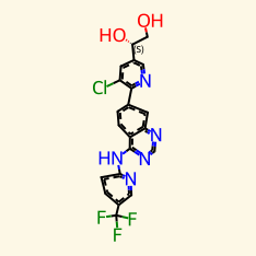 OC[C@@H](O)c1cnc(-c2ccc3c(Nc4ccc(C(F)(F)F)cn4)ncnc3c2)c(Cl)c1